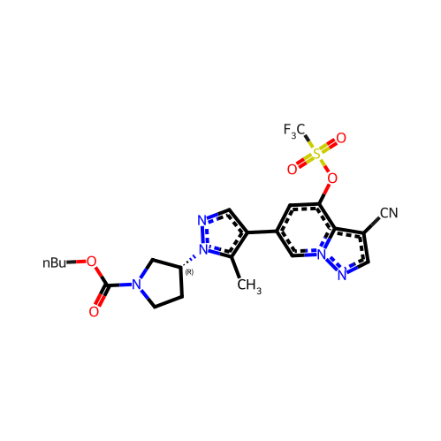 CCCCOC(=O)N1CC[C@@H](n2ncc(-c3cc(OS(=O)(=O)C(F)(F)F)c4c(C#N)cnn4c3)c2C)C1